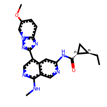 CC[C@@H]1C[C@H]1C(=O)Nc1cc2c(-c3nc4ccc(OC)cn4n3)cnc(NC)c2cn1